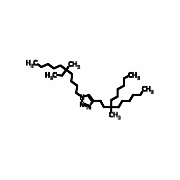 CCCCCCC(C)(CCCCCC)CCc1cn(CCCCC(C)(CC)CCCCC)nn1